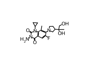 Cc1c(N2CCC(C(C)(O)CO)C2)c(F)cc2c(=O)n(N)c(=O)n(C3CC3)c12